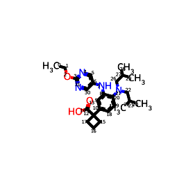 CCOc1ncc(Nc2cc(C3(C(=O)O)CCC3)ccc2N(CC(C)C)CC(C)C)cn1